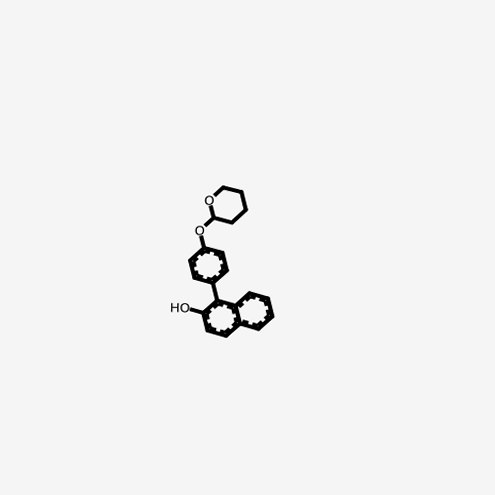 Oc1ccc2ccccc2c1-c1ccc(OC2CCCCO2)cc1